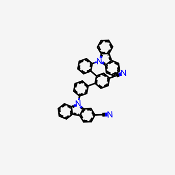 N#Cc1ccc(-c2cccc(-n3c4ccccc4c4ccc(C#N)cc43)c2)c(-c2ccccc2-n2c3ccccc3c3ccccc32)c1